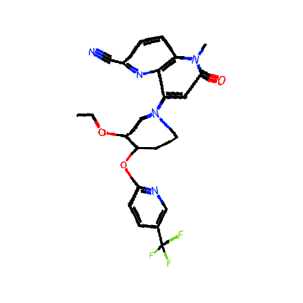 CCOC1CN(c2cc(=O)n(C)c3ccc(C#N)nc23)CCC1Oc1ccc(C(F)(F)F)cn1